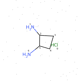 Cl.NC1CCC1N